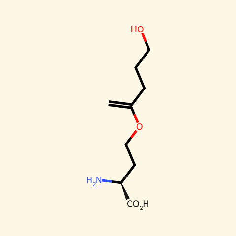 C=C(CCCO)OCC[C@H](N)C(=O)O